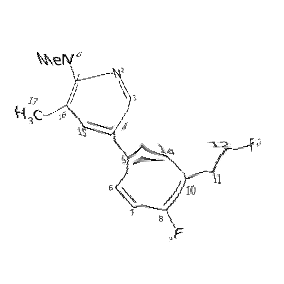 CNc1ncc(-c2ccc(F)c(CCF)c2)cc1C